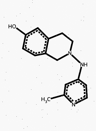 Cc1cc(NN2CCc3cc(O)ccc3C2)ccn1